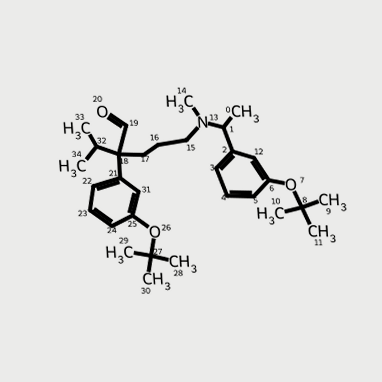 CC(c1cccc(OC(C)(C)C)c1)N(C)CCCC(C=O)(c1cccc(OC(C)(C)C)c1)C(C)C